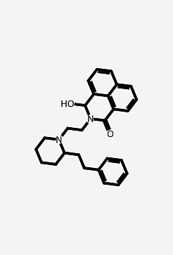 O=C1c2cccc3cccc(c23)C(O)N1CCN1CCCCC1CCc1ccccc1